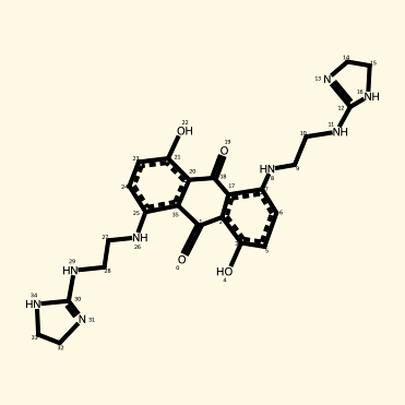 O=C1c2c(O)ccc(NCCNC3=NCCN3)c2C(=O)c2c(O)ccc(NCCNC3=NCCN3)c21